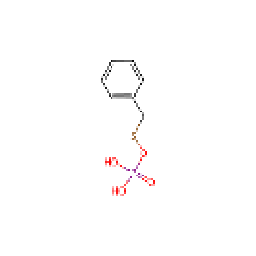 O=P(O)(O)OSCc1ccccc1